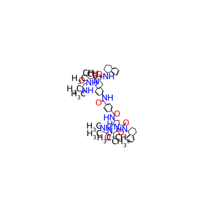 CN[C@@H](C)C(=O)NC(C(=O)N1Cc2ccc(NC(=O)c3ccc(C(=O)N[C@H]4C[C@@H](C(=O)N[C@@H]5CCCc6ccccc65)N(C(=O)[C@@H](NC(=O)[C@H](C)NC)C(C)(C)C)C4)cc3)cc2C[C@H]1C(=O)N[C@@H]1CCCc2ccccc21)C(C)(C)C